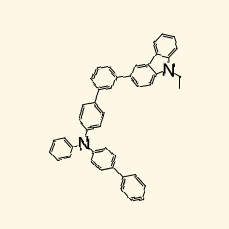 CCn1c2ccccc2c2cc(-c3cccc(-c4ccc(N(c5ccccc5)c5ccc(-c6ccccc6)cc5)cc4)c3)ccc21